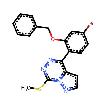 CSc1nnc(-c2ccc(Br)cc2OCc2ccccc2)c2ccnn12